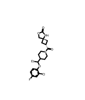 CCC(Oc1ccc(F)cc1Cl)C1CCN(C(=O)[C@H]2C[C@]3(COC(=O)N3)C2)CC1